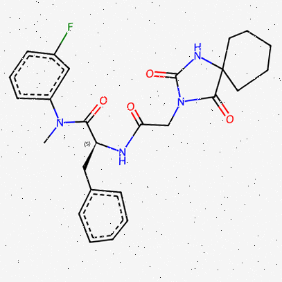 CN(C(=O)[C@H](Cc1ccccc1)NC(=O)CN1C(=O)NC2(CCCCC2)C1=O)c1cccc(F)c1